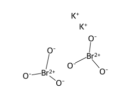 [K+].[K+].[O-][Br+2]([O-])[O-].[O-][Br+2]([O-])[O-]